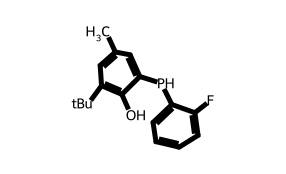 Cc1cc(Pc2ccccc2F)c(O)c(C(C)(C)C)c1